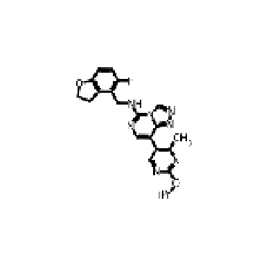 Cc1nc(OC(C)C)ncc1-c1cnc(NCc2c(F)ccc3c2CCO3)n2cnnc12